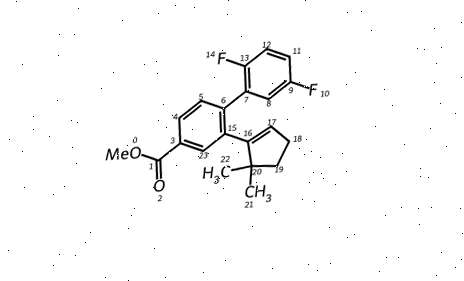 COC(=O)c1ccc(-c2cc(F)ccc2F)c(C2=CCCC2(C)C)c1